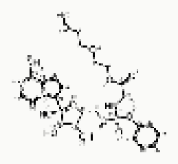 CCOCCOCCOC(=O)[C@H](C)NP(=O)(OC[C@H]1O[C@@](C#N)(c2ccc3c(N)ncnn23)[C@H](O)[C@@H]1O)Oc1ccccc1